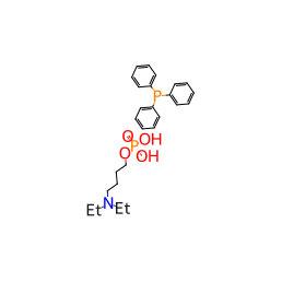 CCN(CC)CCCCOP(=O)(O)O.c1ccc(P(c2ccccc2)c2ccccc2)cc1